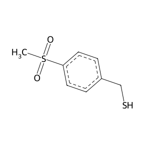 CS(=O)(=O)c1ccc(CS)cc1